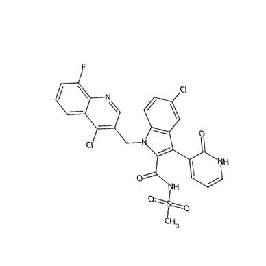 CS(=O)(=O)NC(=O)c1c(-c2ccc[nH]c2=O)c2cc(Cl)ccc2n1Cc1cnc2c(F)cccc2c1Cl